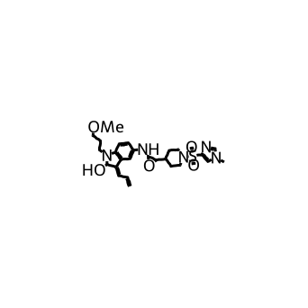 C=C/C=C1\c2cc(N[C@H]3OC3C3CCN(S(=O)(=O)c4cn(C)cn4)CC3)ccc2N(CCCOC)C1O